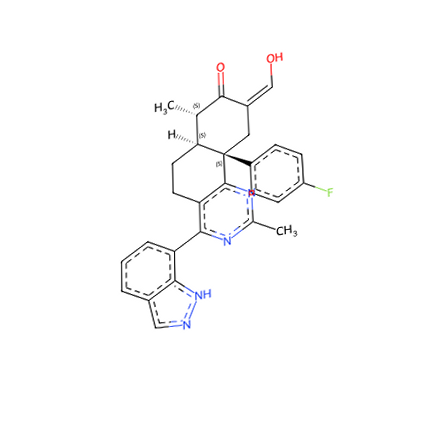 Cc1nc(-c2cccc3cn[nH]c23)c2c(n1)[C@@]1(c3ccc(F)cc3)CC(=CO)C(=O)[C@@H](C)[C@@H]1CC2